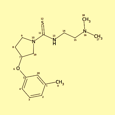 Cc1cccc(OC2CCN(C(=S)NCCN(C)C)C2)c1